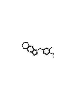 COc1ccc(Cn2cnc3cc4c(cc32)CCCC4)cc1C